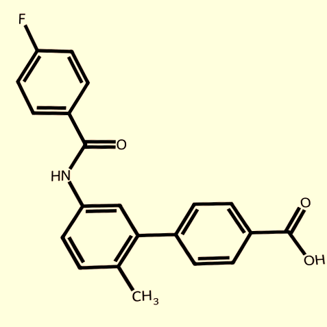 Cc1ccc(NC(=O)c2ccc(F)cc2)cc1-c1ccc(C(=O)O)cc1